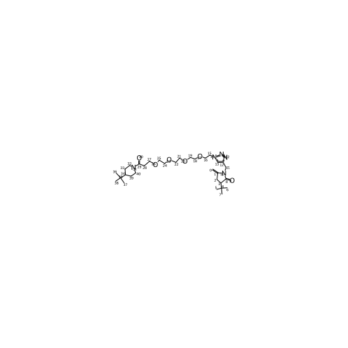 C=C1CC(C(C)(C)C)C(=O)N1Cc1cn(CCOCCOCCOCCOCCC(=O)N2CCC(C(C)(C)C)CC2)nn1